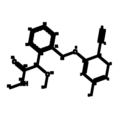 C#CC1CC=C(C)C=C1OCc1ccccc1C(OC)C(=O)NC